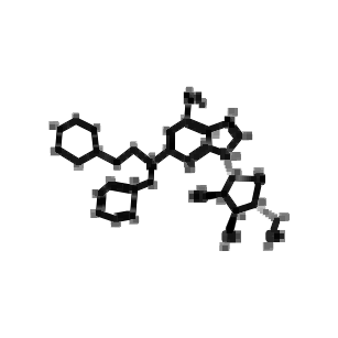 Nc1cc(N(CCC2CCCCC2)Cc2ccccc2)nc2c1ncn2[C@@H]1O[C@H](CO)[C@@H](O)[C@H]1O